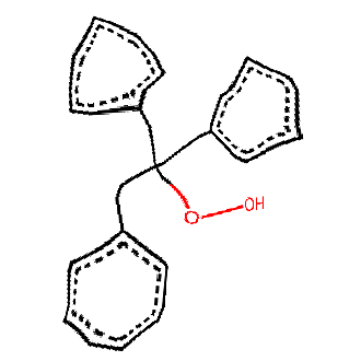 OOC(Cc1ccccc1)(c1ccccc1)c1ccccc1